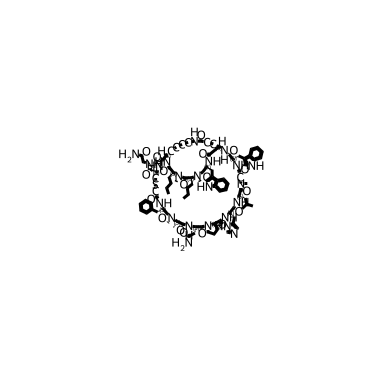 CCCC[C@H]1C(=O)N(C)[C@@H](CCCC)C(=O)N[C@H]2CCCCNC(=O)CC[C@H](NC(=O)[C@H](Cc3c[nH]c4ccccc34)NC(=O)CN(C)C(=O)[C@H](CC(C)C)NC(=O)[C@H](Cc3cnc[nH]3)NC(=O)[C@@H]3CCCN3C(=O)[C@H](CC(N)=O)NC(=O)[C@H](C)N(C)C(=O)[C@H](Cc3ccccc3)NC(=O)CSC[C@@H](C(=O)NCC(N)=O)NC2=O)C(=O)N[C@@H](Cc2c[nH]c3ccccc23)C(=O)N1C